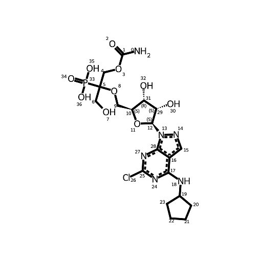 NC(=O)OCC(CO)(OC[C@@H]1O[C@H](n2ncc3c(NC4CCCC4)nc(Cl)nc32)[C@@H](O)[C@H]1O)P(=O)(O)O